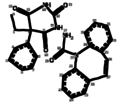 CCC1(c2ccccc2)C(=O)NC(=O)NC1=O.NC(=O)N1c2ccccc2C=Cc2ccccc21